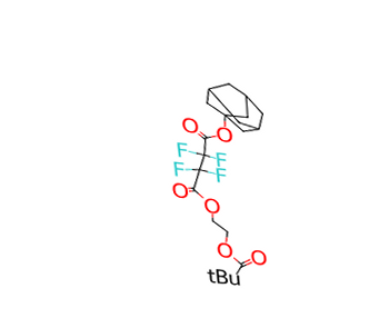 CC(C)(C)C(=O)OCCOC(=O)C(F)(F)C(F)(F)C(=O)OC12CC3CC(CC(C3)C1)C2